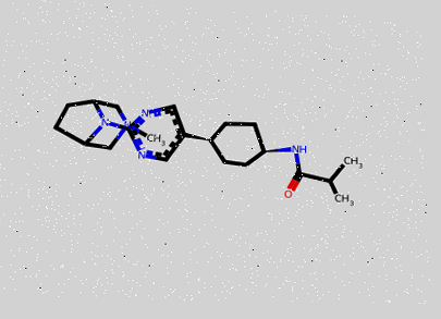 CC(C)C(=O)N[C@H]1CC[C@@H](c2cnc(N3C4CCC3CN(C)C4)nc2)CC1